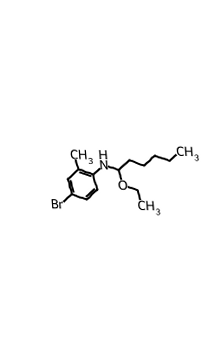 CCCCCC(Nc1ccc(Br)cc1C)OCC